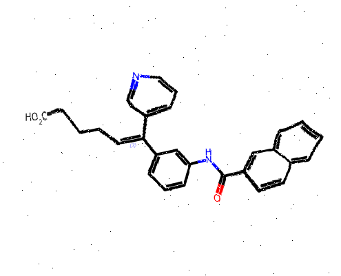 O=C(O)CCC/C=C(\c1cccnc1)c1cccc(NC(=O)c2ccc3ccccc3c2)c1